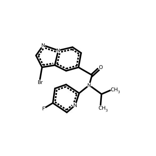 CC(C)N(C(=O)c1ccn2ncc(Br)c2c1)c1ccc(F)cn1